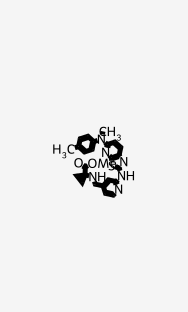 COC(=O)C1(NCc2ccnc(Nc3nc4ccc(N(C)c5ccc(C)cc5)nc4s3)c2)CC1